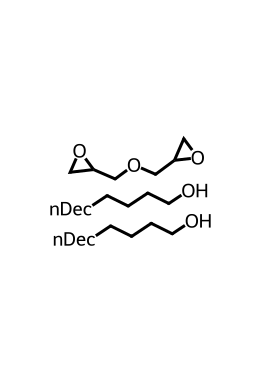 C(OCC1CO1)C1CO1.CCCCCCCCCCCCCCO.CCCCCCCCCCCCCCO